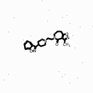 Cc1noc2c1C(=O)N(CCN1CCC(c3noc4ccccc34)CC1)CCC2